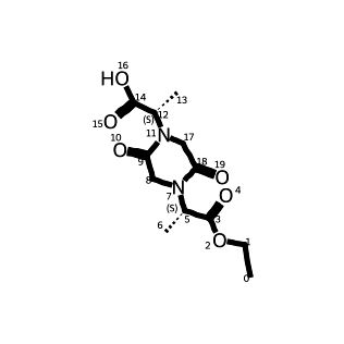 CCOC(=O)[C@H](C)N1CC(=O)N([C@@H](C)C(=O)O)CC1=O